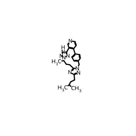 CCCCc1nc(CCC(C)C)nn1Cc1ccc(-c2ccncc2-c2nnn[nH]2)cc1